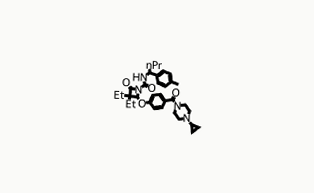 CCCC(NC(=O)N1C(=O)C(CC)(CC)C1Oc1ccc(C(=O)N2CCN(C3CC3)CC2)cc1)c1ccc(C)cc1